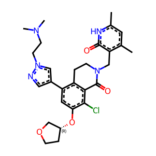 Cc1cc(C)c(CN2CCc3c(-c4cnn(CCN(C)C)c4)cc(O[C@@H]4CCOC4)c(Cl)c3C2=O)c(=O)[nH]1